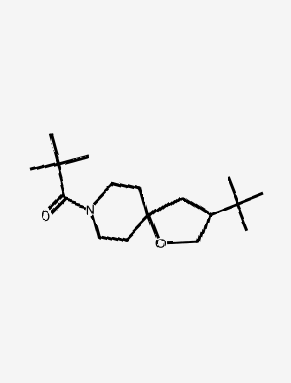 CC(C)(C)C(=O)N1CCC2(CC1)CC(C(C)(C)C)CO2